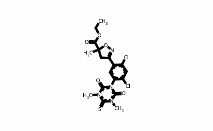 CCOC(=O)C1(C)CC(c2cc(-n3c(=O)n(C)c(=S)n(C)c3=O)c(Cl)cc2Cl)=NO1